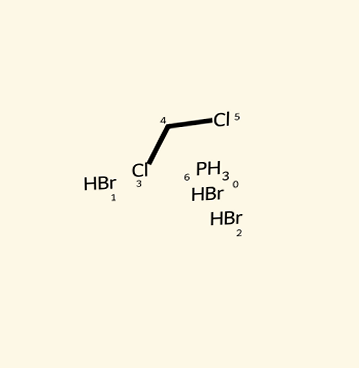 Br.Br.Br.ClCCl.P